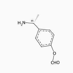 C[C@@H](N)c1ccc(OC=O)cc1